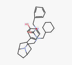 O=C(NCc1ccccc1)N(CCN1C2CCC1CC(c1cccc(O)c1)C2)CC1CCCCC1